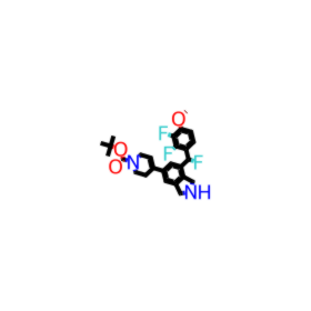 COc1ccc(C(F)c2cc(C3=CCN(C(=O)OC(C)(C)C)CC3)cc3c2CNC3)c(F)c1F